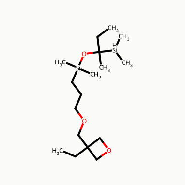 CCC1(COCCC[Si](C)(C)OC(C)(CC)[SiH](C)C)COC1